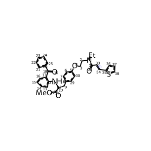 CCN(CCOc1ccc(C[C@H](Nc2ccccc2C(=O)c2ccccc2)C(=O)OC)cc1)C(=O)/C=C/c1cccs1